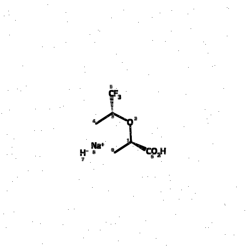 C[C@@H](O[C@H](C)C(F)(F)F)C(=O)O.[H-].[Na+]